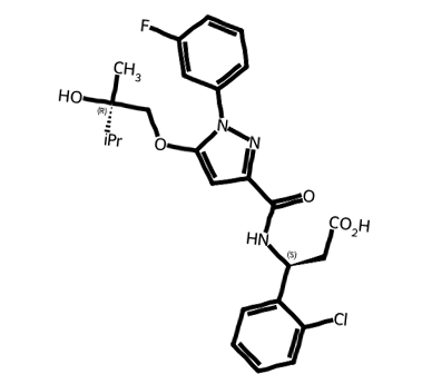 CC(C)[C@@](C)(O)COc1cc(C(=O)N[C@@H](CC(=O)O)c2ccccc2Cl)nn1-c1cccc(F)c1